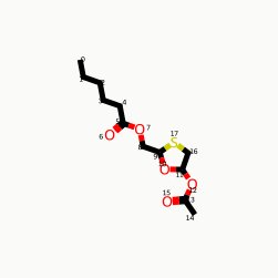 CCCCCC(=O)OCC1OC(OC(C)=O)CS1